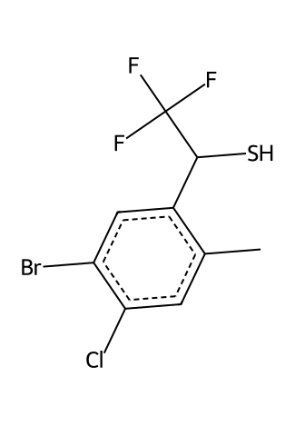 Cc1cc(Cl)c(Br)cc1C(S)C(F)(F)F